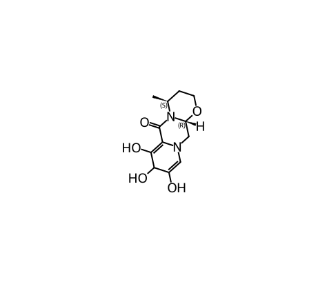 C[C@H]1CCO[C@@H]2CN3C=C(O)C(O)C(O)=C3C(=O)N12